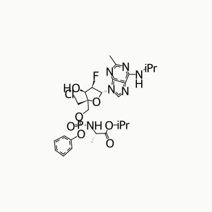 Cc1nc(NC(C)C)c2ncn([C@@H]3O[C@](CCl)(CO[P@@](=O)(N[C@@H](C)C(=O)OC(C)C)Oc4ccccc4)[C@@H](O)[C@H]3F)c2n1